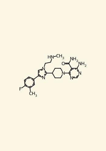 CNCCn1cc(-c2ccc(F)c(C)c2)nc1C1CCN(c2ncnc(N)c2C(N)=O)CC1